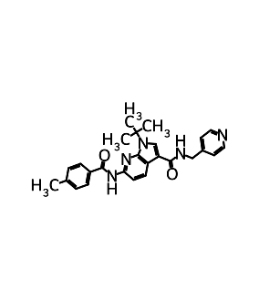 Cc1ccc(C(=O)Nc2ccc3c(C(=O)NCc4ccncc4)cn(C(C)(C)C)c3n2)cc1